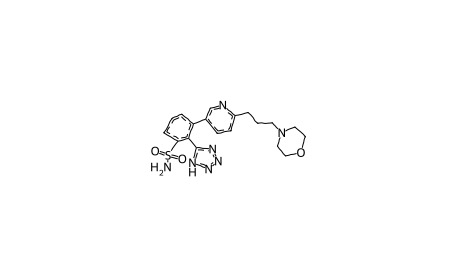 NS(=O)(=O)c1cccc(-c2ccc(CCCN3CCOCC3)nc2)c1-c1nnn[nH]1